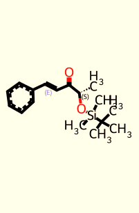 C[C@H](O[Si](C)(C)C(C)(C)C)C(=O)/C=C/c1ccccc1